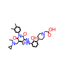 CCN(CC1=C(C)/C(=N\Nc2cccc(C3CCN(CC(=O)O)CC3)c2O)C(=O)N(c2ccc(C)c(C)c2)C1=O)C1CC1